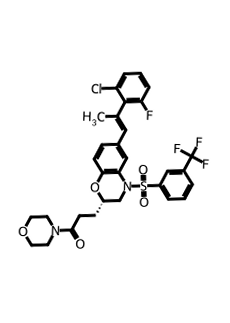 C/C(=C\c1ccc2c(c1)N(S(=O)(=O)c1cccc(C(F)(F)F)c1)C[C@H](CCC(=O)N1CCOCC1)O2)c1c(F)cccc1Cl